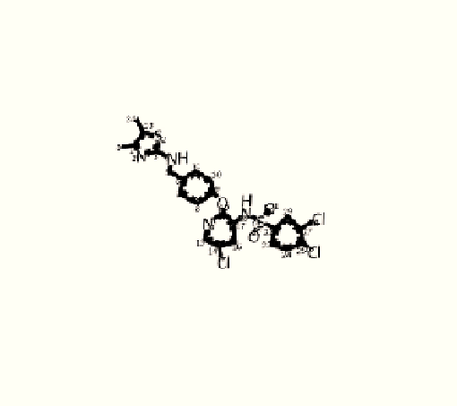 Cc1nc(NCc2ccc(Oc3ncc(Cl)cc3NS(=O)(=O)c3ccc(Cl)c(Cl)c3)cc2)sc1C